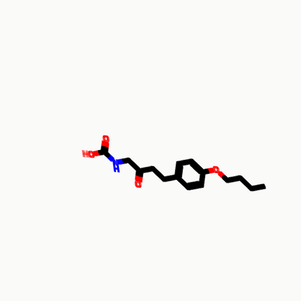 CCCCOc1ccc(CCC(=O)CNC(=O)O)cc1